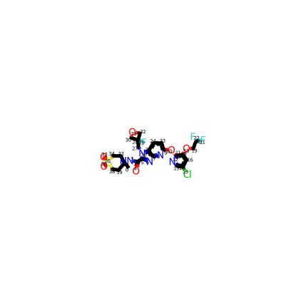 CC1(NC(=O)c2nc3nc(Oc4ncc(Cl)cc4OCC(F)F)ccc3n2CC2(F)COC2)CCS(=O)(=O)CC1